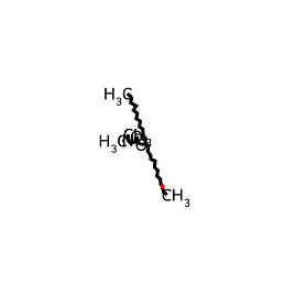 CCCCCCCCCCCCCC(CCCCCCCCCCCC)OC(=O)CN(C)C